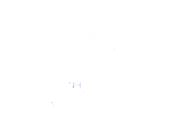 C1COOC1.CC(N)=O